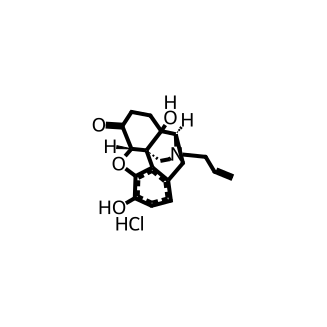 C=CCN1CC[C@]23c4c5ccc(O)c4O[C@@H]2C(=O)CCC3(O)[C@H]1C5.Cl